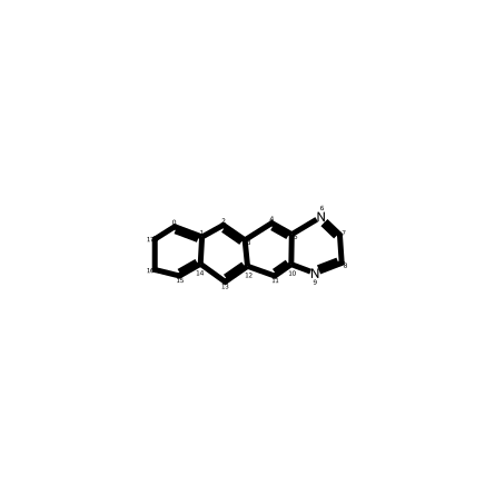 C1=c2cc3cc4nccnc4cc3cc2=CCC1